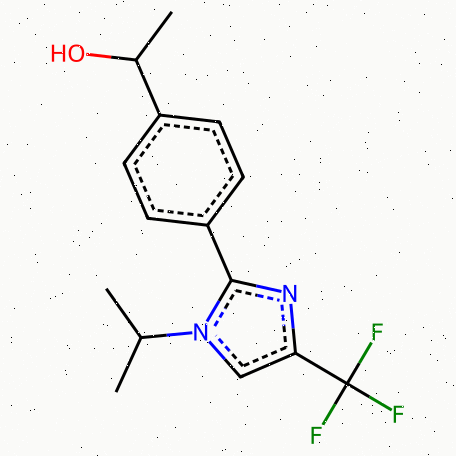 CC(O)c1ccc(-c2nc(C(F)(F)F)cn2C(C)C)cc1